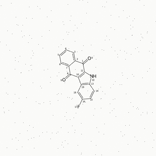 O=C1c2ccccc2C(=O)c2c1[nH]c1ccc(F)cc21